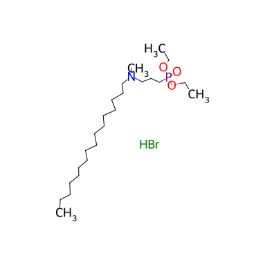 Br.CCCCCCCCCCCCCCCCN(C)CCCP(=O)(OCC)OCC